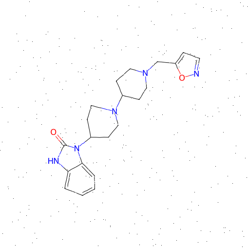 O=c1[nH]c2ccccc2n1C1CCN(C2CCN(Cc3ccno3)CC2)CC1